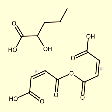 CCCC(O)C(=O)O.O=C(O)/C=C\C(=O)OC(=O)/C=C\C(=O)O